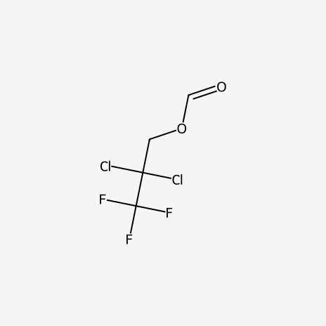 O=COCC(Cl)(Cl)C(F)(F)F